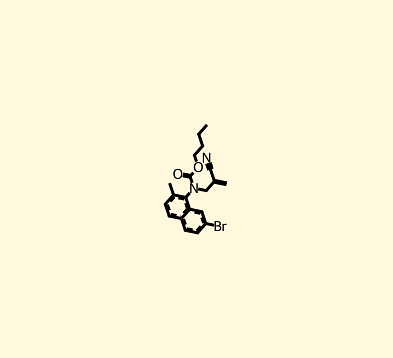 C=C(C#N)CN(C(=O)OCCCC)c1c(C)ccc2ccc(Br)cc12